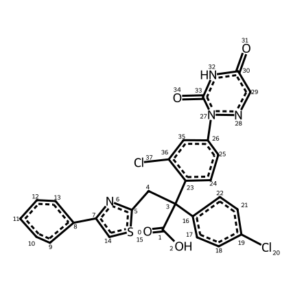 O=C(O)C(Cc1nc(-c2ccccc2)cs1)(c1ccc(Cl)cc1)c1ccc(-n2ncc(=O)[nH]c2=O)cc1Cl